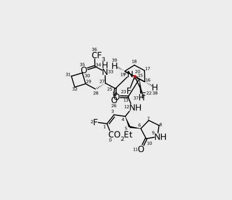 CCOC(=O)/C(F)=C\[C@H](C[C@H]1CCNC1=O)NC(=O)[C@H]1[C@@H]2CC[C@@H](CC2(F)F)N1C(=O)[C@H](CC1CCC1)NC(=O)C(F)(F)F